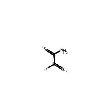 NC(=S)C(F)=S